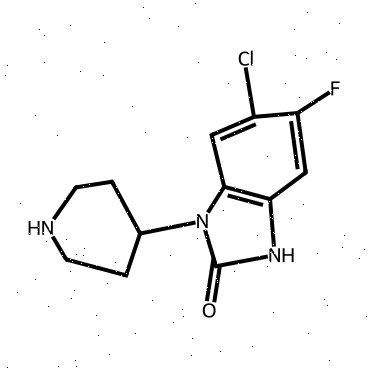 O=c1[nH]c2cc(F)c(Cl)cc2n1C1CCNCC1